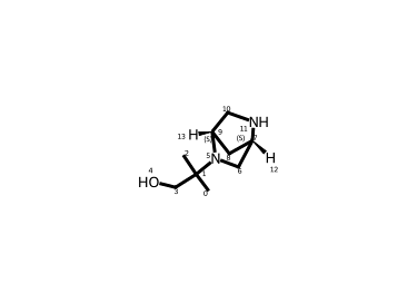 CC(C)(CO)N1C[C@@H]2C[C@H]1CN2